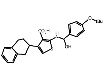 CC(C)(C)Oc1ccc(C(O)Nc2scc(C3CCc4ccccc4C3)c2C(=O)O)cc1